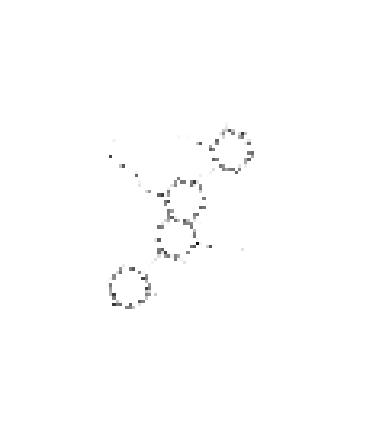 CNc1nc(-c2cccnc2)nc2c(OCCF)cc(-c3ccc(F)cc3F)cc12